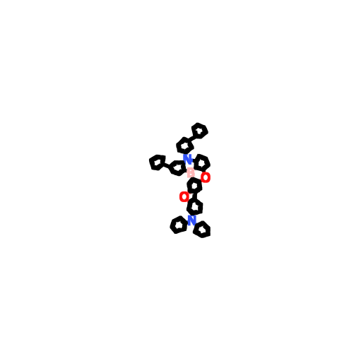 c1ccc(-c2cccc(N3c4cc(-c5ccccc5)ccc4B4c5cc6oc7cc(N(c8ccccc8)c8ccccc8)ccc7c6cc5Oc5cccc3c54)c2)cc1